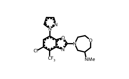 CNC1COCCN(c2nc3c(C(F)(F)F)c(Cl)cc(-n4cccn4)c3o2)C1